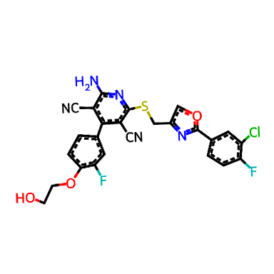 N#Cc1c(N)nc(SCc2coc(-c3ccc(F)c(Cl)c3)n2)c(C#N)c1-c1ccc(OCCO)c(F)c1